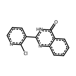 O=c1[nH]c(-c2cccnc2Cl)nc2ccccc12